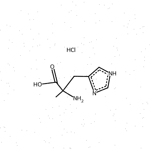 CC(N)(Cc1c[nH]cn1)C(=O)O.Cl